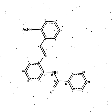 CC(=O)Nc1ccccc1/C=C/c1ccccc1NC(=O)c1ccccc1